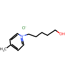 Cc1cc[n+](CCCCCO)cc1.[Cl-]